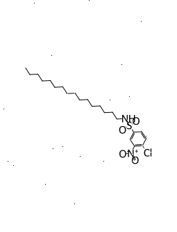 CCCCCCCCCCCCCCCCNS(=O)(=O)c1ccc(Cl)c([N+](=O)[O-])c1